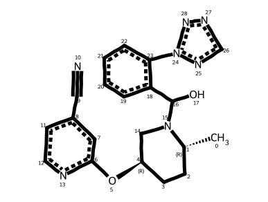 C[C@@H]1CC[C@@H](Oc2cc(C#N)ccn2)CN1C(O)c1ccccc1-n1ncnn1